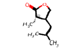 CC(C)CC1COC(=O)[C@H]1C